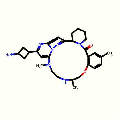 Cc1ccc2c(c1)C(=O)N1CCCCC1c1cc3nc(C4CC(N)C4)cc(n3n1)N(C)CCNC(C(F)(F)F)CO2